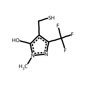 Cn1nc(C(F)(F)F)c(CS)c1O